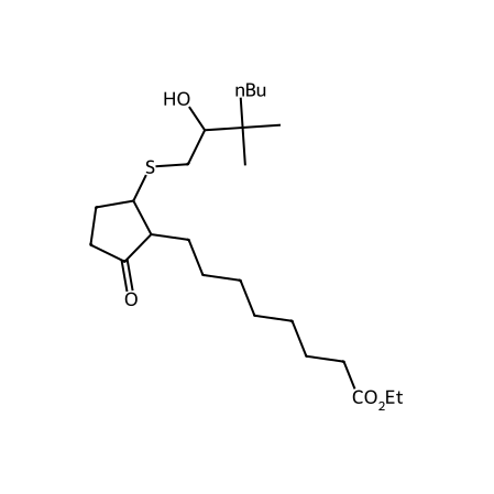 CCCCC(C)(C)C(O)CSC1CCC(=O)C1CCCCCCCC(=O)OCC